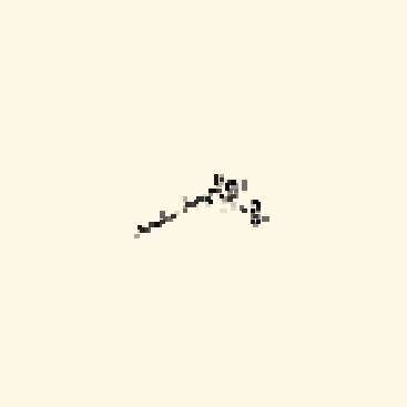 CC(C)=CCC/C(C)=C/CC/C(C)=C/CSCC(NC(=O)CCCC(=O)O)C(=O)O